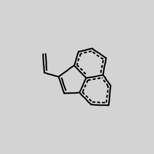 C=CC1=Cc2cccc3cccc1c23